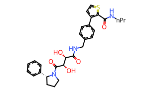 CCCNC(=O)c1sccc1-c1ccc(CNC(=O)[C@H](O)[C@@H](O)C(=O)N2CCC[C@@H]2c2ccccc2)cc1